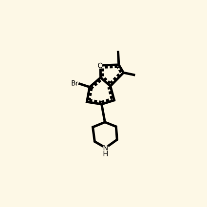 Cc1oc2c(Br)cc(C3CCNCC3)cc2c1C